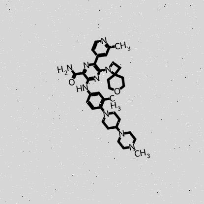 Cc1cc(-c2nc(C(N)=O)c(Nc3ccc(N4CCC(N5CCN(C)CC5)CC4)c(C)c3)nc2N2CCC23CCOCC3)ccn1